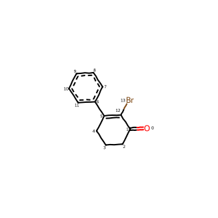 O=C1CCCC(c2ccccc2)=C1Br